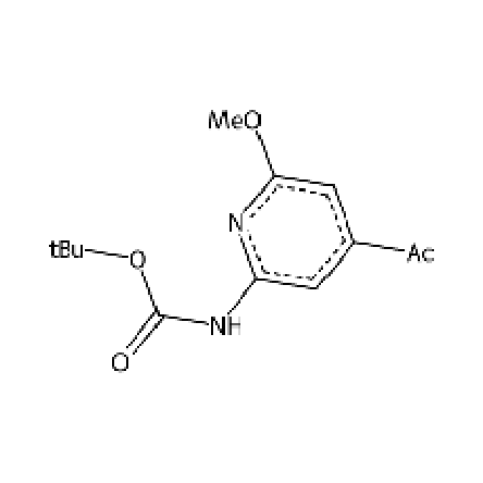 COc1cc(C(C)=O)cc(NC(=O)OC(C)(C)C)n1